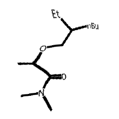 CCCCC(CC)COC(C)C(=O)N(C)C